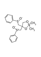 C[Si]1(C)OCC(C[S+]([O-])c2ccccc2)(C[S+]([O-])c2ccccc2)O1